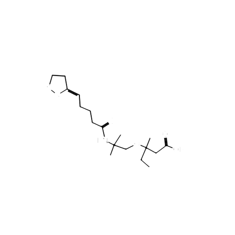 CCC(C)(CC(=O)O)OCC(C)(C)NC(=O)CCC/C=C1/CCSS1